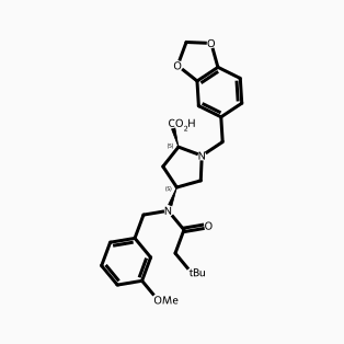 COc1cccc(CN(C(=O)CC(C)(C)C)[C@H]2C[C@@H](C(=O)O)N(Cc3ccc4c(c3)OCO4)C2)c1